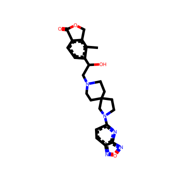 Cc1c(C(O)CN2CCC3(CC2)CCN(c2ccc4nonc4n2)C3)ccc2c1COC2=O